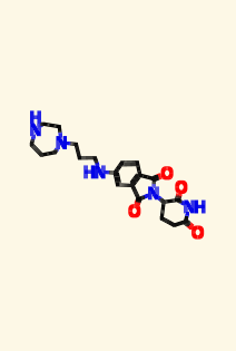 O=C1CCC(N2C(=O)c3ccc(NCCCN4CCCNCC4)cc3C2=O)C(=O)N1